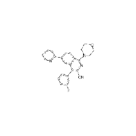 N#Cc1nc(N2CCOCC2)c2ccc(-c3ccccn3)cc2c1-c1cccc(F)c1